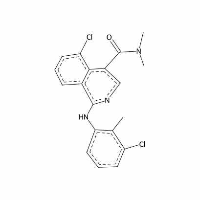 Cc1c(Cl)cccc1Nc1ncc(C(=O)N(C)C)c2c(Cl)cccc12